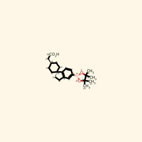 CC1(C)OB(c2ccc3c(c2)CC[C@]32CC[C@H](CC(=O)O)CC2)OC1(C)C